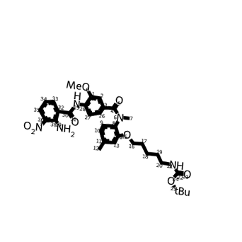 COc1cc(C(=O)N(C)c2ccc(C)cc2OCCCCCNC(=O)OC(C)(C)C)ccc1NC(=O)c1cccc([N+](=O)[O-])c1N